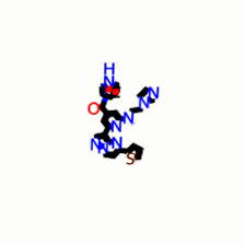 CN(CCn1ccnc1)c1cc(C(=O)N2CC3CCC(C2)NC3)cc(-c2cnn3ccc(-c4cccs4)nc23)n1